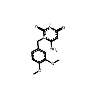 COc1ccc(Cn2c(N)cc(=O)[nH]c2=O)cc1OC